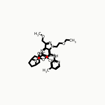 CCOCCn1nc(COC)c2nc(N3CC4CCC(C3)N4C(=O)OC(C)(C)C)nc(Nc3cc(C)ccn3)c21